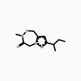 CCC(C)c1cc2n(n1)CC(=O)N(C)OC2